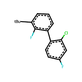 CC(C)(C)c1cccc(-c2ccc(F)cc2Cl)c1F